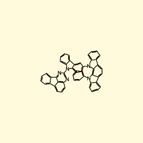 c1ccc(-n2c3ccccc3c3ccc4c5ccccc5n(-c5ccc6c(c5)c5ccccc5n6-c5nc6c7c(cccc7n5)-c5ccccc5-6)c4c32)cc1